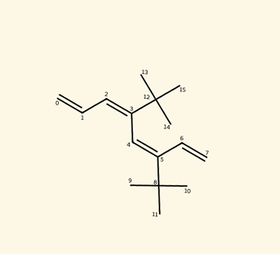 C=C/C=C(\C=C(/C=C)C(C)(C)C)C(C)(C)C